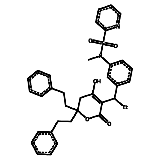 CCC(C1=C(O)CC(CCc2ccccc2)(CCc2ccccc2)OC1=O)c1cccc(N(C)S(=O)(=O)c2ccccn2)c1